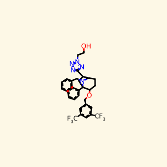 OCCn1nnc(C2CC3(c4ccccc4)C(OCc4cc(C(F)(F)F)cc(C(F)(F)F)c4)CCC2N3Cc2ccccc2)n1